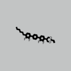 C=CC1OCC(c2ccc(-c3ccc(-c4ccc(CCCCCC)c(F)c4F)cc3)c(F)c2F)CO1